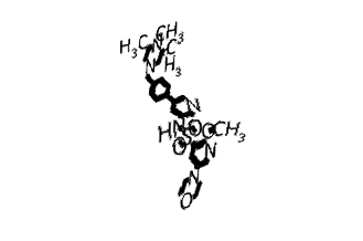 COc1ncc(N2CCOCC2)cc1S(=O)(=O)Nc1cncc(-c2ccc(CN3C[C@@H](C)N(C)[C@@H](C)C3)cc2)c1